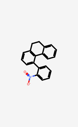 O=[N+]([O-])c1ccccc1-c1cccc2c1-c1ccccc1CC2